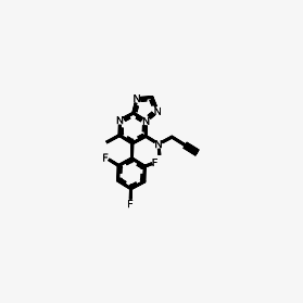 C#CCN(C)c1c(-c2c(F)cc(F)cc2F)c(C)nc2ncnn12